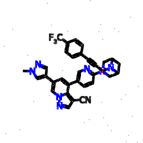 Cn1cc(-c2cc(-c3ccc(N4CC5CC(C4)N5CC#Cc4ccc(C(F)(F)F)cc4)nc3)c3c(C#N)cnn3c2)cn1